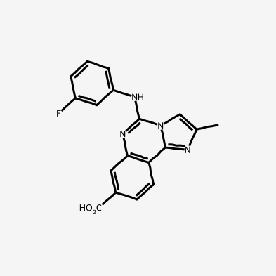 Cc1cn2c(Nc3cccc(F)c3)nc3cc(C(=O)O)ccc3c2n1